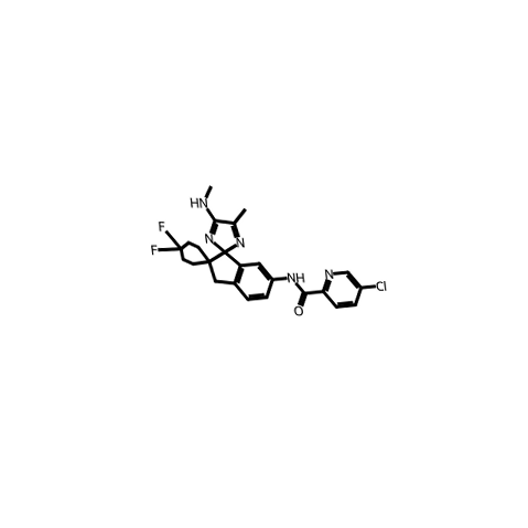 CNC1=NC2(N=C1C)c1cc(NC(=O)c3ccc(Cl)cn3)ccc1CC21CCC(F)(F)CC1